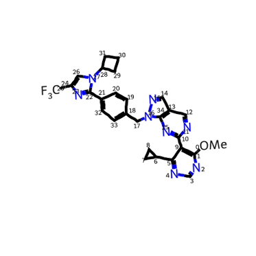 COc1ncnc(C2CC2)c1-c1ncc2cnn(Cc3ccc(-c4nc(C(F)(F)F)cn4C4CCC4)cc3)c2n1